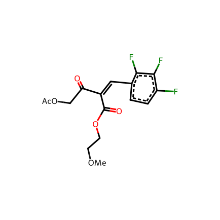 COCCOC(=O)/C(=C\c1ccc(F)c(F)c1F)C(=O)COC(C)=O